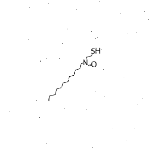 CCCCCCCCCCCCN(C=O)CCS